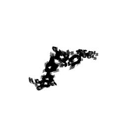 CN1C(=O)CNc2ccc(-c3ccc(C[C@H](NC(=O)[C@@H]4CN(C(=O)OC(C)(C)C)CCCO4)C(N)=O)cc3)cc21